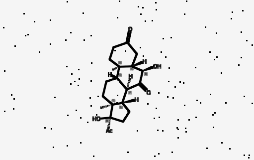 CC(=O)[C@@]1(O)CC[C@H]2[C@@H]3C(=O)[C@H](O)[C@H]4CC(=O)CC[C@]4(C)[C@H]3CC[C@@]21C